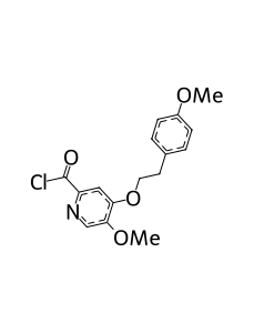 COc1ccc(CCOc2cc(C(=O)Cl)ncc2OC)cc1